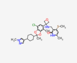 CSc1cc(C)[nH]c(=O)c1CNC1(c2cc(Cl)c3c(c2C)OC(C)(C2CCC(c4cnn(C)c4)CC2)O3)COC1